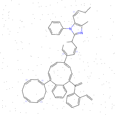 C=Cc1ccccc1C(=C)c1ccc(C(/C=C\C(C)c2nc(C)c(/C=C\CC)n2-c2ccccc2)=C/C)cccc(/C2=C/C=C\C/C=C\C=C/C2)c2ccccc12